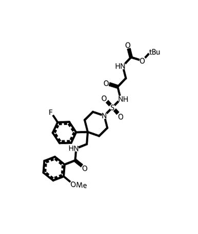 COc1ccccc1C(=O)NCC1(c2cccc(F)c2)CCN(S(=O)(=O)NC(=O)CNC(=O)OC(C)(C)C)CC1